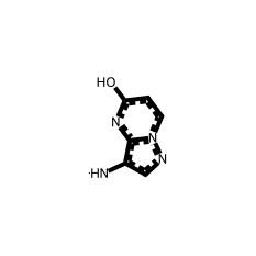 [NH]c1cnn2ccc(O)nc12